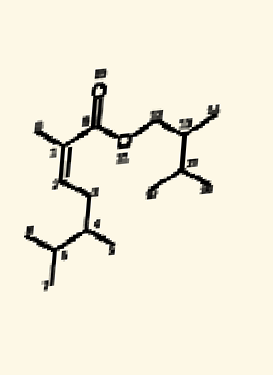 CC(=CCC(C)C(C)C)C(=O)OCC(C)C(C)C